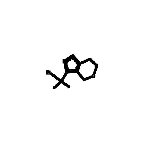 CCC(C)(C)n1ncc2c1COCC2